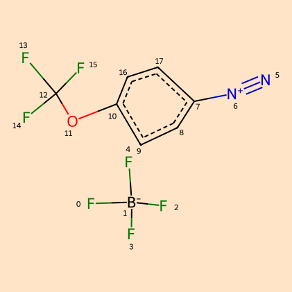 F[B-](F)(F)F.N#[N+]c1ccc(OC(F)(F)F)cc1